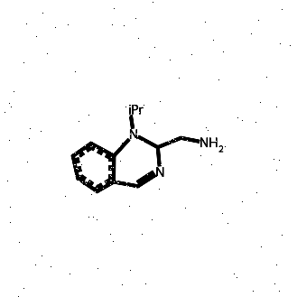 CC(C)N1c2ccccc2C=NC1CN